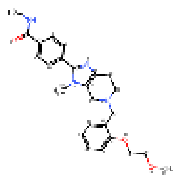 CNC(=O)c1ccc(-c2nc3c(n2C)CN(Cc2ccccc2OCCOC)CC3)cc1